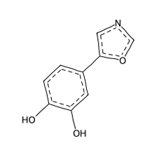 Oc1ccc(-c2cnco2)cc1O